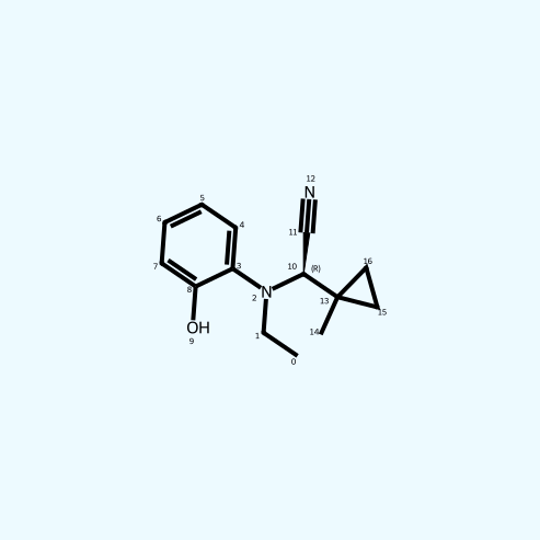 CCN(c1ccccc1O)[C@@H](C#N)C1(C)CC1